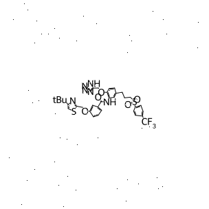 CC(C)(C)c1csc(COc2cccc(C(=O)Nc3cc(CCCS(=O)(=O)c4ccc(C(F)(F)F)cc4)ccc3OCc3nnn[nH]3)c2)n1